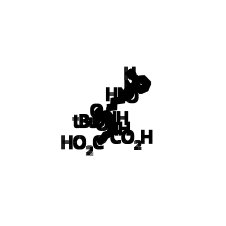 C#Cc1ccccc1NC(=O)NCCCC[C@H](NC(=O)N[C@@H](CCC(=O)O)C(=O)O)C(=O)OC(C)(C)C